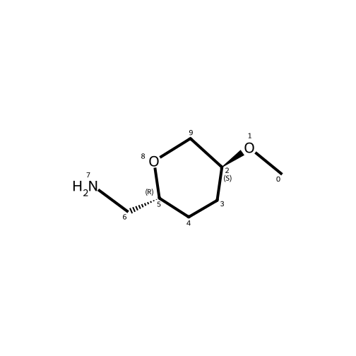 CO[C@H]1CC[C@H](CN)OC1